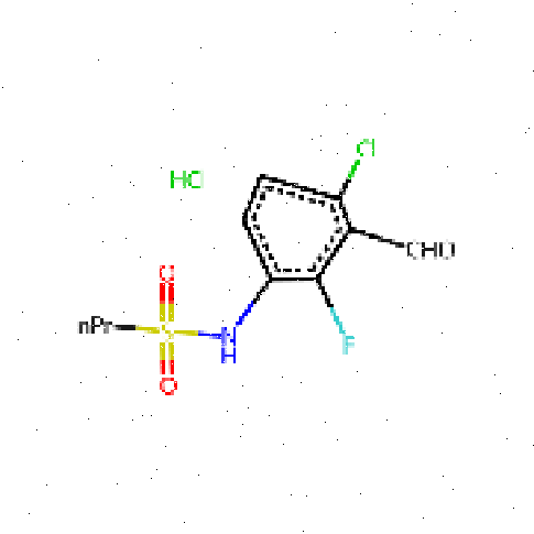 CCCS(=O)(=O)Nc1ccc(Cl)c(C=O)c1F.Cl